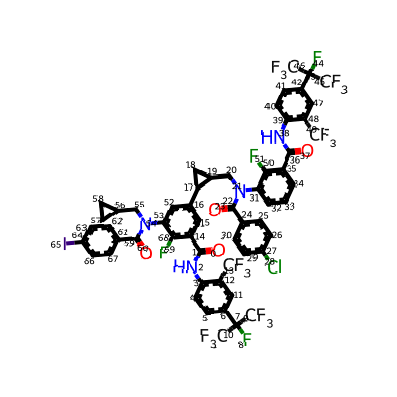 O=C(Nc1ccc(C(F)(C(F)(F)F)C(F)(F)F)cc1C(F)(F)F)c1cc(C2CC2CN(C(=O)c2ccc(Cl)cc2)c2cccc(C(=O)Nc3ccc(C(F)(C(F)(F)F)C(F)(F)F)cc3C(F)(F)F)c2F)cc(N(CC2CC2)C(=O)c2ccc(I)cc2)c1F